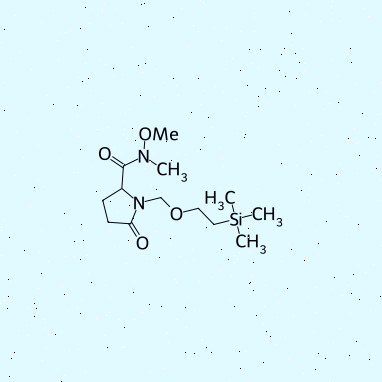 CON(C)C(=O)C1CCC(=O)N1COCC[Si](C)(C)C